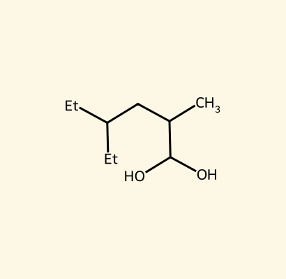 CCC(CC)CC(C)C(O)O